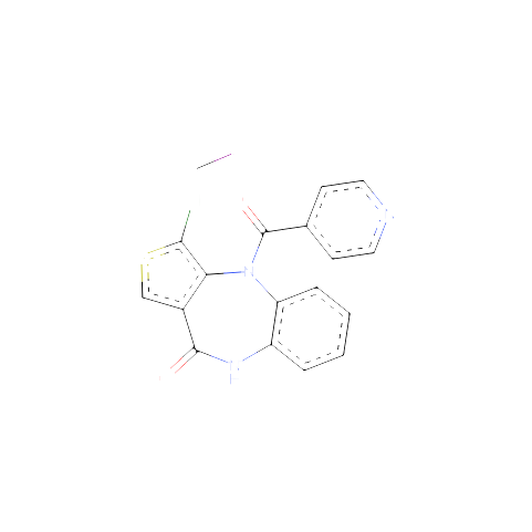 CI.O=C1Nc2ccccc2N(C(=O)c2ccncc2)c2c1csc2Cl